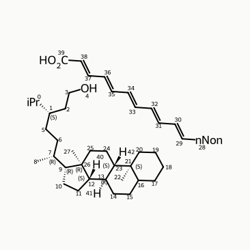 CC(C)[C@H](CCO)CC[C@@H](C)[C@H]1CC[C@H]2[C@@H]3CCC4CCCC[C@]4(C)[C@H]3CC[C@]12C.CCCCCCCCCC=CC=CC=CC=CC=CC(=O)O